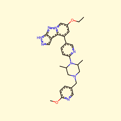 CCOc1cc(-c2ccc(N3C(C)CN(Cc4ccc(OC)nc4)CC3C)nc2)c2c3cn[nH]c3nn2c1